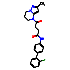 Cc1cc2n(n1)CCCN2C(=O)CCC(=O)Nc1ccc(-c2ccccc2F)cc1